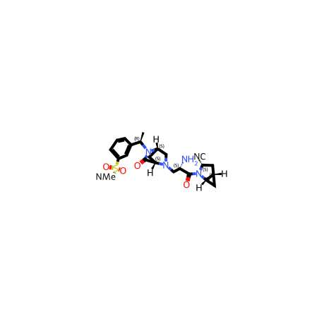 CNS(=O)(=O)c1cccc([C@@H](C)N2C(=O)[C@@H]3C[C@H]2CN3C[C@H](N)C(=O)N2[C@H](C#N)C[C@@H]3C[C@@H]32)c1